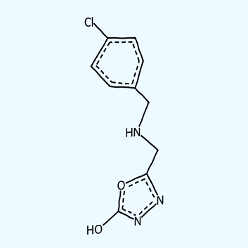 Oc1nnc(CNCc2ccc(Cl)cc2)o1